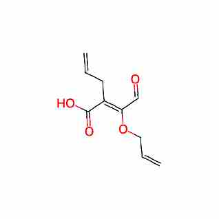 C=CCOC(C=O)=C(CC=C)C(=O)O